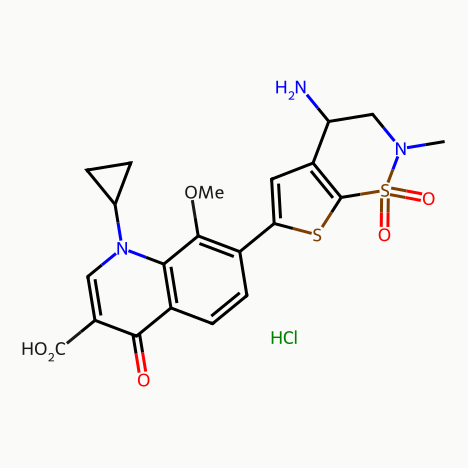 COc1c(-c2cc3c(s2)S(=O)(=O)N(C)CC3N)ccc2c(=O)c(C(=O)O)cn(C3CC3)c12.Cl